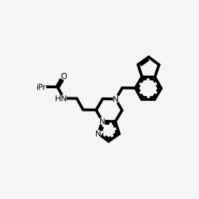 CC(C)C(=O)NCCC1CN(Cc2cccc3c2C=CC3)Cc2ccnn21